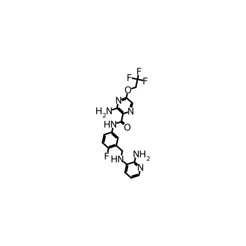 Nc1ncccc1NCc1cc(NC(=O)c2ncc(OCC(F)(F)F)nc2N)ccc1F